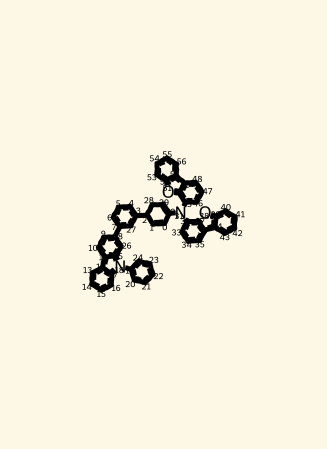 C1=CC(c2cccc(-c3ccc4c5ccccc5n(-c5ccccc5)c4c3)c2)CC=C1N(c1cccc2c1oc1ccccc12)c1cccc2c1oc1ccccc12